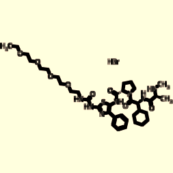 Br.CCOCCOCCOCCOCCNC(=O)Nc1nc(-c2ccccc2)c(NC(=O)[C@@H]2CCCN2C(=O)[C@@H](NC(=O)[C@H](C)NC)C2CCCCC2)s1